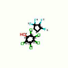 FC1=C(F)C(F)(F)CC1.Oc1c(Cl)c(Cl)c(Cl)c(Cl)c1Cl